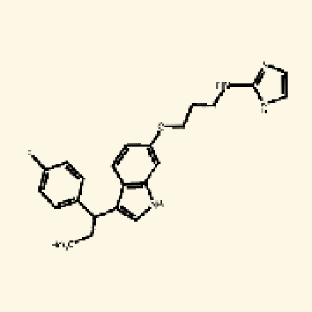 O=C(O)CC(c1ccc(F)cc1)c1c[nH]c2cc(OCCCNc3ncc[nH]3)ccc12